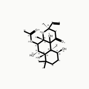 C=C[C@@]1(C)CC(=O)C2(O)[C@@]3(C)[C@@H](O)CCC(C)(C)[C@@H]3[C@H](O)C(OC(C)=O)[C@]2(C)O1